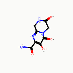 NC(=O)c1nc2n(c(=O)c1O)CC(=O)NC2